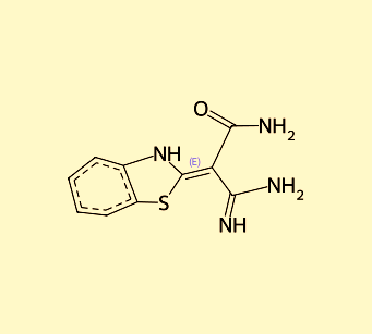 N=C(N)/C(C(N)=O)=C1/Nc2ccccc2S1